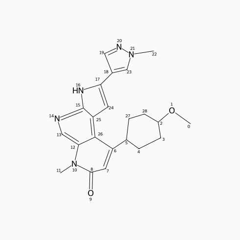 COC1CCC(c2cc(=O)n(C)c3cnc4[nH]c(-c5cnn(C)c5)cc4c23)CC1